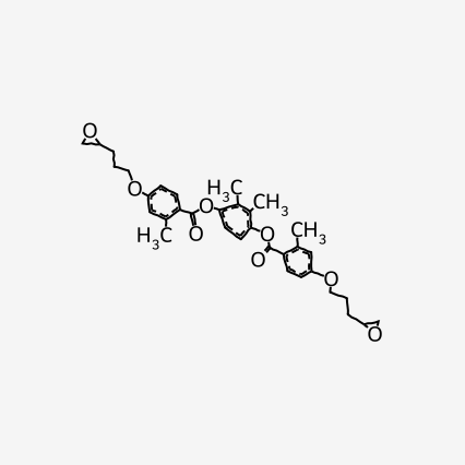 Cc1cc(OCCCC2CO2)ccc1C(=O)Oc1ccc(OC(=O)c2ccc(OCCCC3CO3)cc2C)c(C)c1C